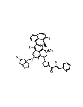 C#Cc1c(F)ccc2cccc(-c3nc(OC)c4c(N(C)[C@@H]5CCN(C(=O)/C(F)=C/c6ccccn6)C5)nc(OC[C@@]56CCCN5C[C@H](F)C6)nc4c3F)c12